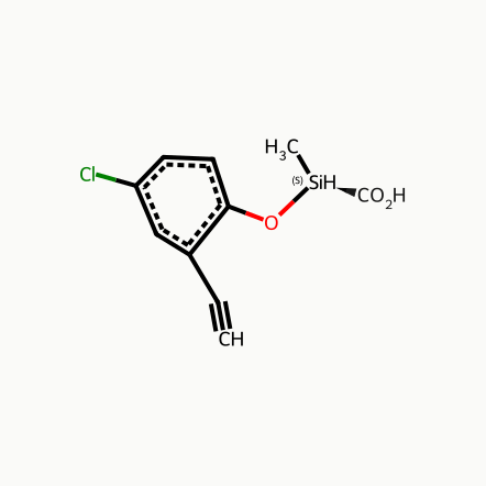 C#Cc1cc(Cl)ccc1O[Si@@H](C)C(=O)O